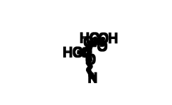 N#CCCCOc1cc(O)cc(C(=O)C=C(O)C(=O)O)c1